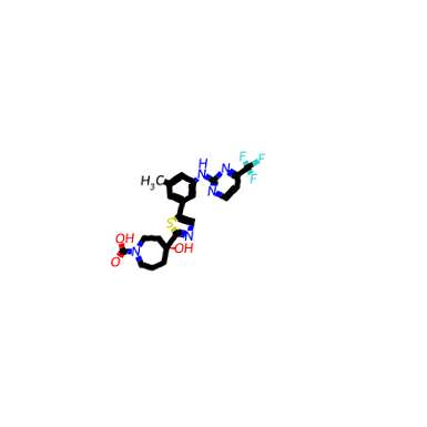 Cc1cc(Nc2nccc(C(F)(F)F)n2)cc(-c2cnc([C@@]3(O)CCCN(C(=O)O)CC3)s2)c1